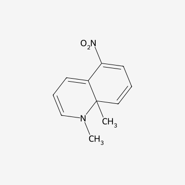 CN1C=CC=C2C([N+](=O)[O-])=CC=CC21C